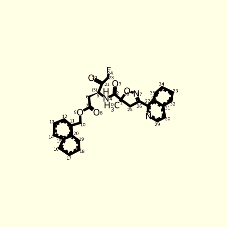 CC1(C(=O)N[C@@H](CC(=O)OCc2cccc3ccccc23)C(=O)CF)CC(c2nccc3ccccc23)=NO1